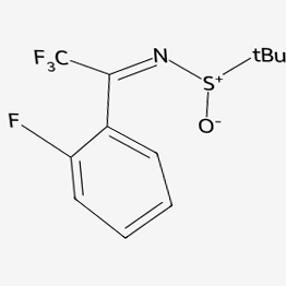 CC(C)(C)[S+]([O-])/N=C(\c1ccccc1F)C(F)(F)F